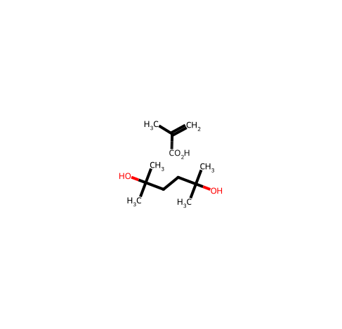 C=C(C)C(=O)O.CC(C)(O)CCC(C)(C)O